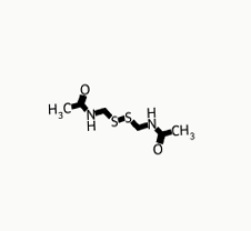 CC(=O)NCSSCNC(C)=O